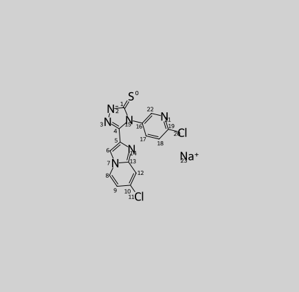 S=c1[n-]nc(-c2cn3ccc(Cl)cc3n2)n1-c1ccc(Cl)nc1.[Na+]